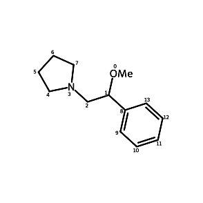 COC(CN1CCCC1)c1ccccc1